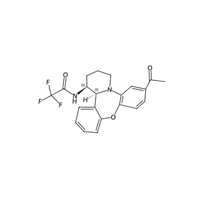 CC(=O)c1ccc2c(c1)N1CCC[C@H](NC(=O)C(F)(F)F)[C@@H]1c1ccccc1O2